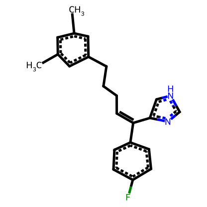 Cc1cc(C)cc(CCCC=C(c2ccc(F)cc2)c2c[nH]cn2)c1